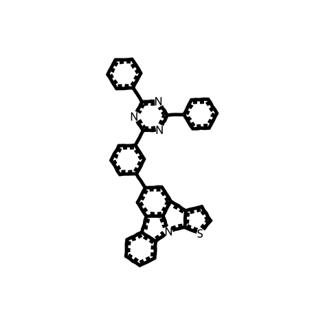 c1ccc(-c2nc(-c3ccccc3)nc(-c3cccc(-c4cc5c6ccccc6n6c7sccc7c(c4)c56)c3)n2)cc1